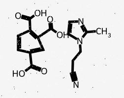 Cc1nccn1CCC#N.O=C(O)c1ccc(C(=O)O)c(C(=O)O)c1